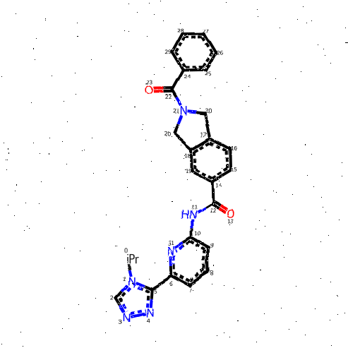 CC(C)n1cnnc1-c1cccc(NC(=O)c2ccc3c(c2)CN(C(=O)c2ccccc2)C3)n1